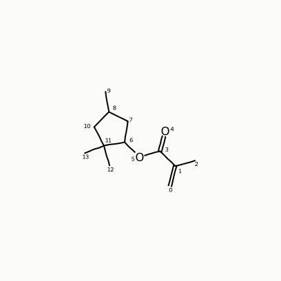 C=C(C)C(=O)OC1CC(C)CC1(C)C